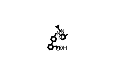 Cc1ccnc2c1nc(C1CC1)n2Cc1ccc(-c2ccccc2COO)cc1